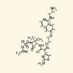 CC1(C)[C@H](NC(=O)/C(=N\OCCOc2ccc3c(NCCN)nccc3c2)c2csc(N)n2)C(=O)N1OS(=O)(=O)OC(=O)C(F)(F)F